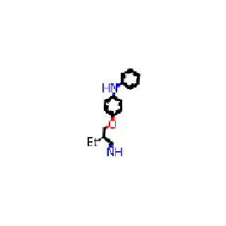 CC[C@H](C=N)COc1ccc(Nc2ccccc2)cc1